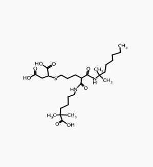 CCCCCCC(C)(C)NC(=O)C(CCCSC(CC(=O)O)C(=O)O)C(=O)NCCCCC(C)(C)C(=O)O